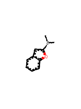 CB(C)c1cc2ccccc2o1